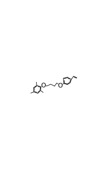 C=Cc1ccc(OCCCCOc2c(C)cc(C)cc2C)cc1